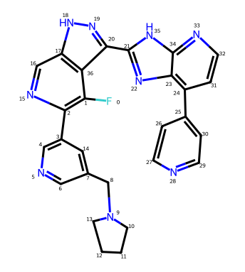 Fc1c(-c2cncc(CN3CCCC3)c2)ncc2[nH]nc(-c3nc4c(-c5ccncc5)ccnc4[nH]3)c12